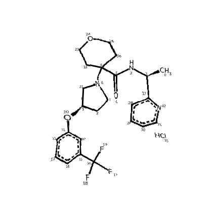 C[C@H](NC(=O)C1(N2CC[C@@H](Oc3cccc(C(F)(F)F)c3)C2)CCOCC1)c1ccccn1.Cl